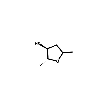 CC1C[C@H](S)[C@@H](C)O1